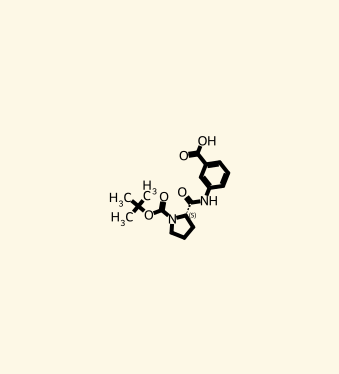 CC(C)(C)OC(=O)N1CCC[C@H]1C(=O)Nc1cccc(C(=O)O)c1